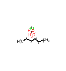 BCCCCC.Cl.O.O